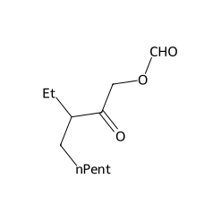 CCCCCCC(CC)C(=O)COC=O